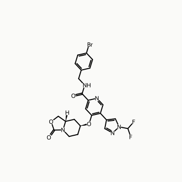 O=C(NCc1ccc(Br)cc1)c1cc(O[C@H]2CCN3C(=O)OC[C@@H]3C2)c(-c2cnn(C(F)F)c2)cn1